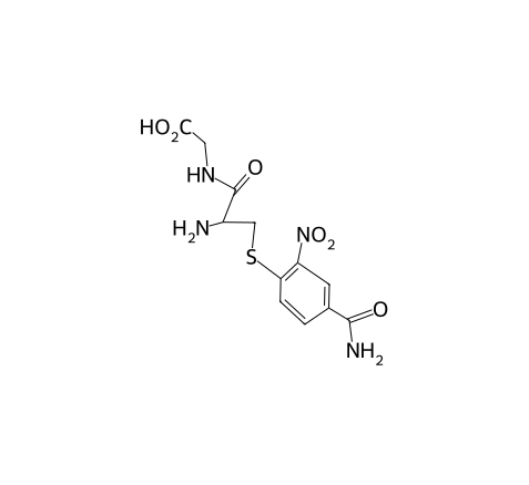 NC(=O)c1ccc(SCC(N)C(=O)NCC(=O)O)c([N+](=O)[O-])c1